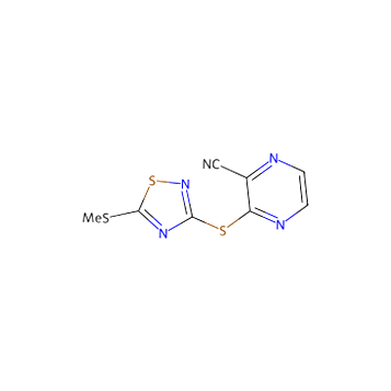 CSc1nc(Sc2nccnc2C#N)ns1